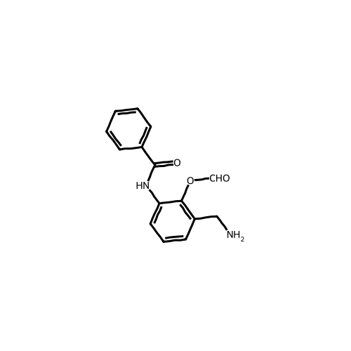 NCc1cccc(NC(=O)c2ccccc2)c1OC=O